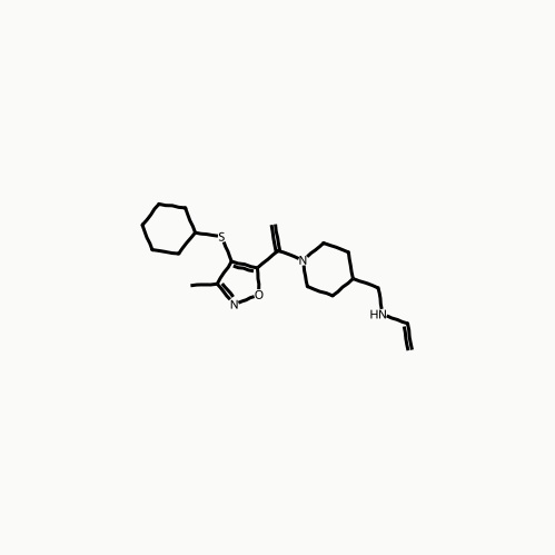 C=CNCC1CCN(C(=C)c2onc(C)c2SC2CCCCC2)CC1